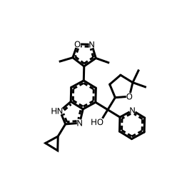 Cc1noc(C)c1-c1cc(C(O)(c2ccccn2)C2CCC(C)(C)O2)c2nc(C3CC3)[nH]c2c1